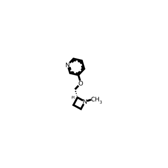 CN1CC[C@@H]1COc1cccnc1